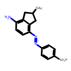 CC(=O)OC1Cc2c(N)ccc(/N=N/c3ccc(S(=O)(=O)O)cc3)c2C1